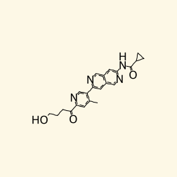 Cc1cc(C(=O)CCCO)ncc1-c1cc2cnc(NC(=O)C3CC3)cc2cn1